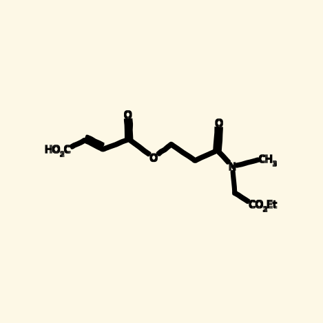 CCOC(=O)CN(C)C(=O)CCOC(=O)/C=C/C(=O)O